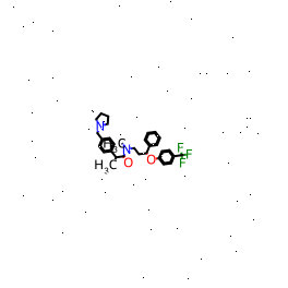 CC(C(=O)N(C)CCC(Oc1ccc(C(F)(F)F)cc1)c1ccccc1)c1ccc(CN2CCCC2)cc1